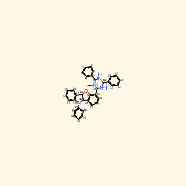 CN1C(c2ccccc2)NC(c2ccccc2)NC1c1cccc2c1OC1c3ccccc3N(c3ccccc3)C21